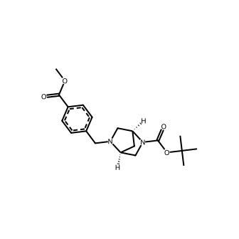 COC(=O)c1ccc(CN2C[C@@H]3C[C@H]2CN3C(=O)OC(C)(C)C)cc1